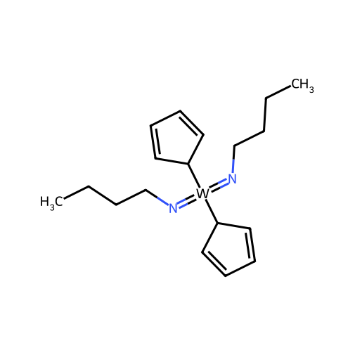 CCCC[N]=[W](=[N]CCCC)([CH]1C=CC=C1)[CH]1C=CC=C1